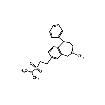 CN1CCC(c2ccccc2)c2ccc(CCS(=O)(=O)N(C)C)cc2C1